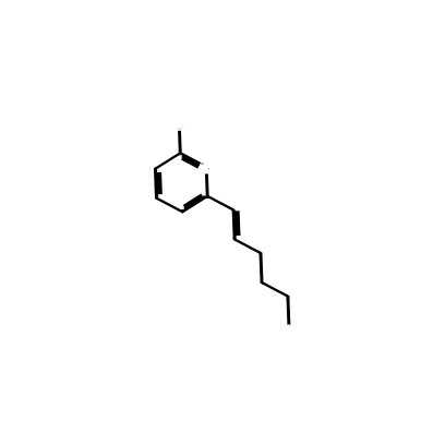 CCCCC=Cc1cccc(Br)n1